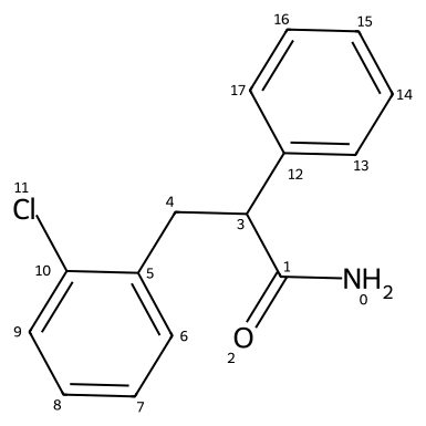 NC(=O)C(Cc1ccccc1Cl)c1ccccc1